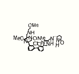 COCCNCc1ncc(-c2cccc(-c3cccc(-c4cnc(CNC[C@@H]5CCC(=O)N5)c(OC)n4)c3Cl)c2Cl)nc1OC